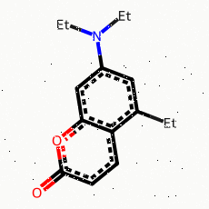 CCc1cc(N(CC)CC)cc2oc(=O)ccc12